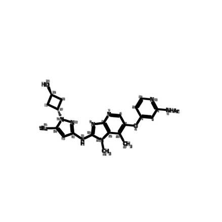 CC(=O)Nc1cc(Oc2cnc3nc(Nc4cc(C(C)(C)C)n([C@H]5C[C@H](O)C5)n4)n(C)c3c2C)ccn1